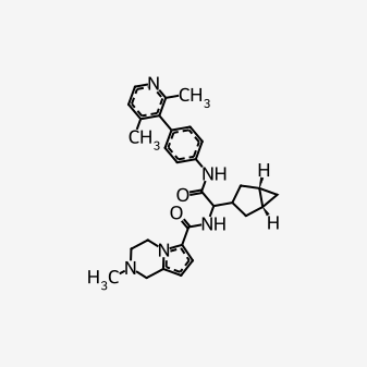 Cc1ccnc(C)c1-c1ccc(NC(=O)C(NC(=O)c2ccc3n2CCN(C)C3)C2C[C@@H]3C[C@@H]3C2)cc1